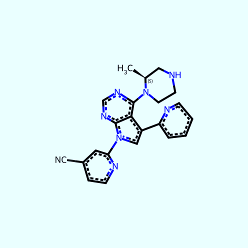 C[C@H]1CNCCN1c1ncnc2c1c(-c1ccccn1)cn2-c1cc(C#N)ccn1